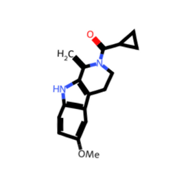 C=C1c2[nH]c3ccc(OC)cc3c2CCN1C(=O)C1CC1